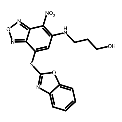 O=[N+]([O-])c1c(NCCCO)cc(Sc2nc3ccccc3o2)c2nonc12